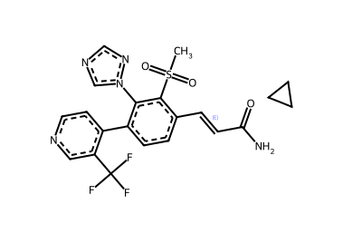 C1CC1.CS(=O)(=O)c1c(/C=C/C(N)=O)ccc(-c2ccncc2C(F)(F)F)c1-n1cncn1